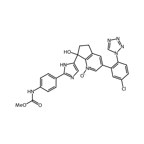 COC(=O)Nc1ccc(-c2ncc(C3(O)CCc4cc(-c5cc(Cl)ccc5-n5cnnn5)c[n+]([O-])c43)[nH]2)cc1